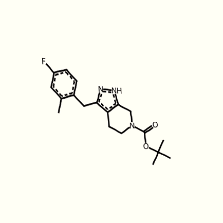 Cc1cc(F)ccc1Cc1n[nH]c2c1CCN(C(=O)OC(C)(C)C)C2